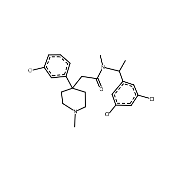 CC(c1cc(Cl)cc(Cl)c1)N(C)C(=O)CC1(c2cccc(Cl)c2)CCN(C)CC1